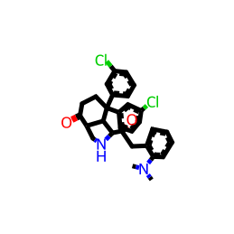 CN(C)c1ccccc1CC(=O)C1NCC2C(=O)CCC(c3cccc(Cl)c3)(c3cccc(Cl)c3)C21